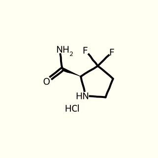 Cl.NC(=O)[C@@H]1NCCC1(F)F